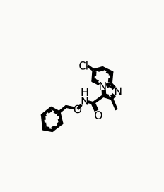 Cc1nc2ccc(Cl)cn2c1C(=O)NOCc1ccccc1